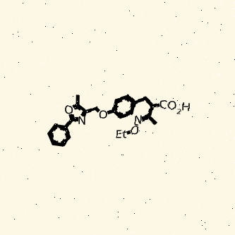 CCON=C(C)C(Cc1ccc(OCc2nc(-c3ccccc3)oc2C)cc1)C(=O)O